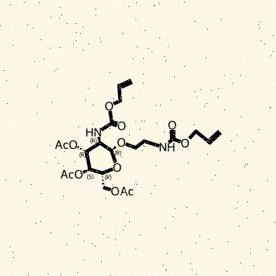 C=CCOC(=O)NCCO[C@@H]1O[C@H](COC(C)=O)[C@@H](OC(C)=O)[C@H](OC(C)=O)[C@H]1NC(=O)OCC=C